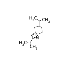 CC(C)c1cc2n(n1)CCC(C(C)C)C2